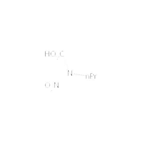 CCCN(C(=O)O)[N+](=O)[O-]